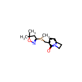 C=S(Cc1ccc2n(c1=O)CC2)C1=NOC(C)(C)C1